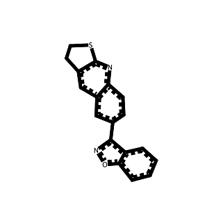 c1ccc2c(-c3ccc4nc5c(cc4c3)CCS5)noc2c1